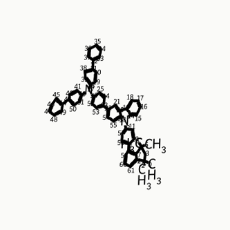 CC1(C)CC(C)(C)c2c(-c3ccc(-n4c5ccccc5c5cc(-c6ccc(N(c7ccc(-c8ccccc8)cc7)c7ccc(-c8ccccc8)cc7)cc6)ccc54)cc3)cccc21